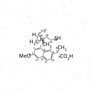 COc1ccc2cc([C@H](C)C(=O)O)ccc2c1.C[N+](C)(C)CCS.[I-]